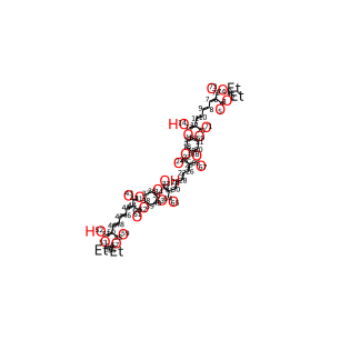 CCC1(CC)OC(=O)C(=C/C=C/C=C/C2=C(O)OC3(CCC4(CC3)OC(=O)C(=C/C=C/C=C/C3=C(O)OC5(CCC6(CC5)OC(=O)C(=C/C=C/C=C/C5=C(O)OC(CC)(CC)OC5=O)C(=O)O6)OC3=O)C(=O)O4)OC2=O)C(=O)O1